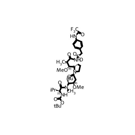 CCC(C)[C@@H]([C@@H](CC(=O)N1CCC[C@H]1[C@H](OC)[C@@H](C)C(=O)NS(=O)(=O)Cc1ccc(NC(=O)C(F)(F)F)cc1)OC)N(C)C(=O)[C@@H](NC(=O)OC(C)(C)C)C(C)C